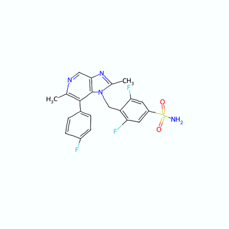 Cc1ncc2nc(C)n(Cc3c(F)cc(S(N)(=O)=O)cc3F)c2c1-c1ccc(F)cc1